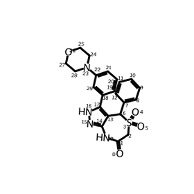 O=C1CS(=O)(=O)C(c2ccccc2)c2c(n[nH]c2-c2cccc(N3CCOCC3)c2)N1